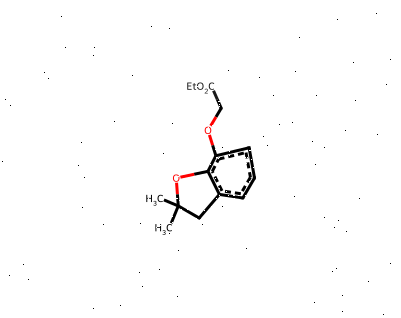 CCOC(=O)COc1cccc2c1OC(C)(C)C2